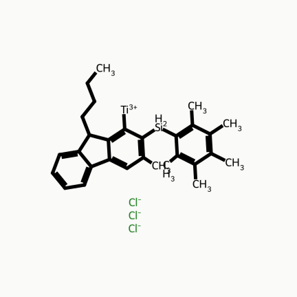 CCCCC1c2ccccc2-c2cc(C)c([SiH2]c3c(C)c(C)c(C)c(C)c3C)[c]([Ti+3])c21.[Cl-].[Cl-].[Cl-]